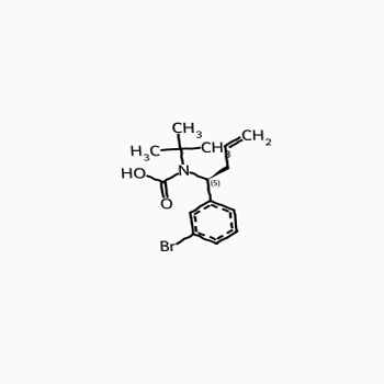 C=CC[C@@H](c1cccc(Br)c1)N(C(=O)O)C(C)(C)C